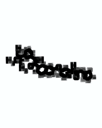 CC(C)(C)c1cccc(NC(=O)C2CCc3ccc(Oc4ccnc(NC(=O)CN5CCCC5)c4)cc3C2)c1